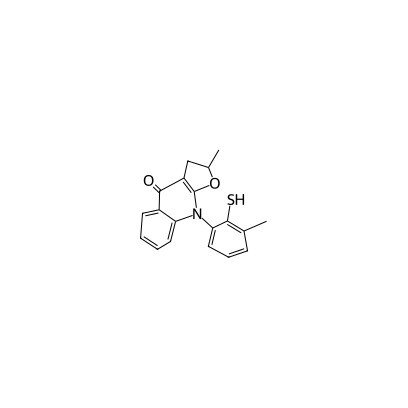 Cc1cccc(-n2c3c(c(=O)c4ccccc42)CC(C)O3)c1S